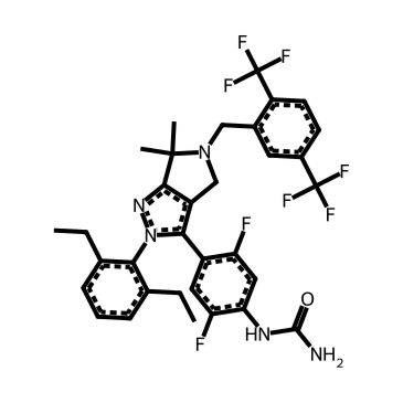 CCc1cccc(CC)c1-n1nc2c(c1-c1cc(F)c(NC(N)=O)cc1F)CN(Cc1cc(C(F)(F)F)ccc1C(F)(F)F)C2(C)C